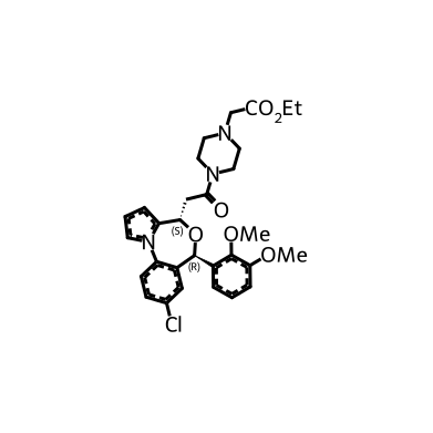 CCOC(=O)CN1CCN(C(=O)C[C@@H]2O[C@@H](c3cccc(OC)c3OC)c3cc(Cl)ccc3-n3cccc32)CC1